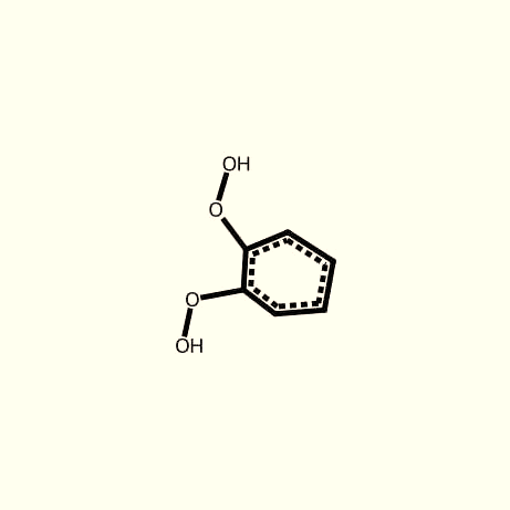 OOc1ccccc1OO